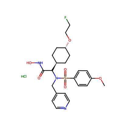 COc1ccc(S(=O)(=O)N(Cc2ccncc2)C(C(=O)NO)[C@H]2CC[C@H](OCCF)CC2)cc1.Cl